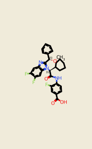 CO[C@@H](c1ccccc1)c1nc2cc(F)c(F)cc2n1[C@H](C(=O)Nc1ccc(C(=O)O)cc1F)C1CCCCC1